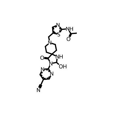 CC(=O)Nc1ncc(CN2CCC3(CC2)NC(O)N(c2ncc(C#N)cn2)C3=O)s1